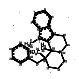 Cn1c2c(c3ccccc31)CCN1CCCC(Cc3ccccc3)(C(=O)O)C21C